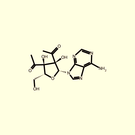 CC(=O)[C@@]1(O)[C@@H](CO)O[C@@H](n2cnc3c(N)ncnc32)[C@@]1(O)C(C)=O